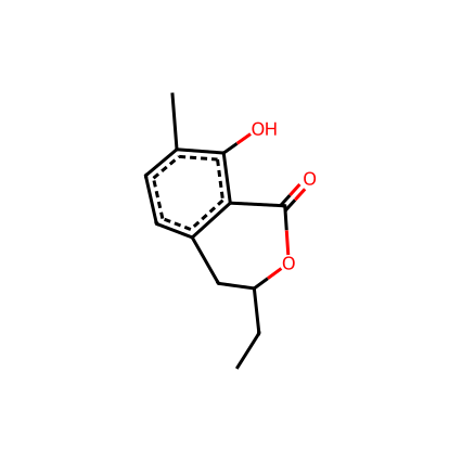 CCC1Cc2ccc(C)c(O)c2C(=O)O1